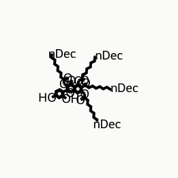 CCCCCCCCCCCCCCCCCC(=O)Oc1cc2oc(-c3ccc(O)cc3O)c(OC(=O)CCCCCCCCCCCCCCCCC)c(=O)c2c(OC(=O)CCCCCCCCCCCCCCCCC)c1C(=O)CCCCCCCCCCCCCCCCC